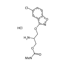 CNC(=O)OCC(N)COc1noc2ccc(Cl)cc12.Cl